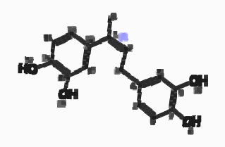 C/C(=C/Cc1ccc(O)c(O)c1)c1ccc(O)c(O)c1